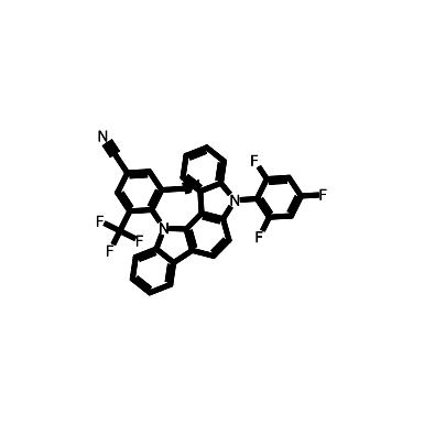 N#Cc1cc(C#N)c(-n2c3ccccc3c3ccc4c(c5ccccc5n4-c4c(F)cc(F)cc4F)c32)c(C(F)(F)F)c1